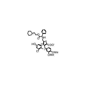 COc1ccc([C@H](Cc2c(Cl)c[n+](O)cc2Cl)c2cc(CNC(C(=O)OCCN3CCCCC3)c3ccccc3)sc2C(=O)[O-])cc1OC